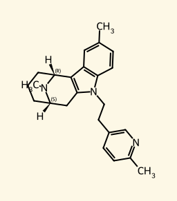 Cc1ccc2c(c1)c1c(n2CCc2ccc(C)nc2)C[C@@H]2CCC[C@H]1N2C